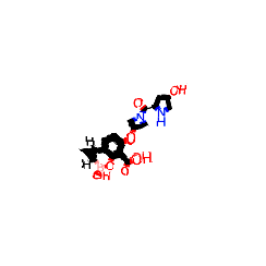 O=C(O)c1c(OC2CN(C(=O)[C@@H]3C[C@@H](O)CN3)C2)ccc2c1OB(O)[C@@H]1C[C@H]21